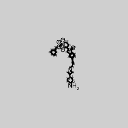 NC1CCN(C2CN(CCC#Cc3ccc4c(c3)CN(C3CCC(=O)N(C(=O)OCc5ccccc5)C3=O)C4=O)C2)CC1